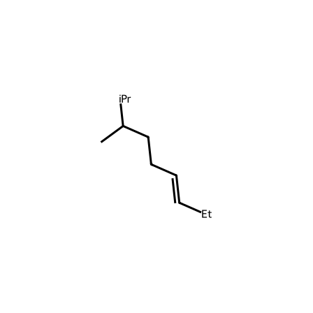 [CH2]C(C)C(C)CC/C=C/CC